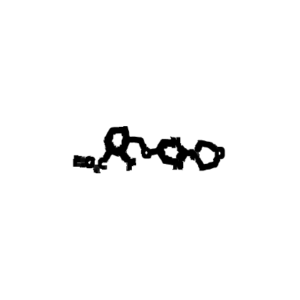 CCOC(=O)c1cccc(COc2cnc(N3CCOCC3)nc2)c1F